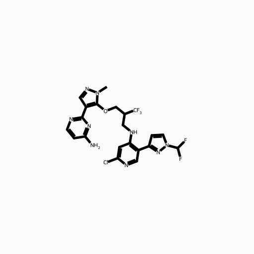 Cn1ncc(-c2nccc(N)n2)c1OCC(CNc1cc(Cl)ncc1-c1ccn(C(F)F)n1)C(F)(F)F